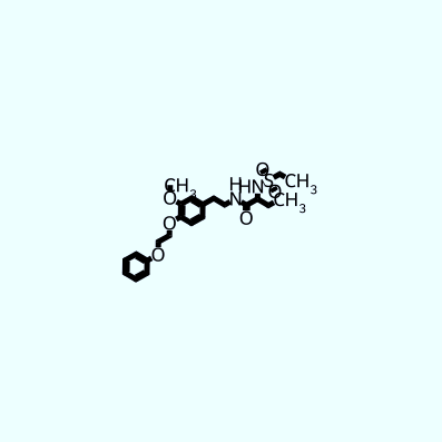 CCC(NS(=O)(=O)CC)C(=O)NCCc1ccc(OCCOc2ccccc2)c(OC)c1